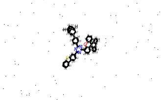 c1ccc2c(c1)Oc1c(-c3nc(-c4ccc(C56C[C@H]7CC8(CC7C[C@@H]8C5)C6)cc4)nc(-c4ccc5c(c4)sc4ccccc45)n3)cccc1C21c2ccccc2-c2ccccc21